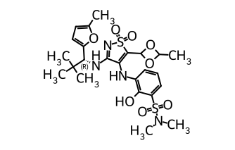 Cc1ccc([C@H](NC2=NS(=O)(=O)C(C3OC(C)O3)=C2Nc2cccc(S(=O)(=O)N(C)C)c2O)C(C)(C)C)o1